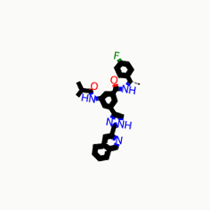 CC(C)C(=O)Nc1cc(C(=O)N[C@@H](C)c2ccc(F)cc2)cc(-c2c[nH]c(-c3cc4ccccc4cn3)n2)c1